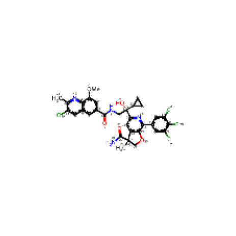 COc1cc(C(=O)NC[C@](O)(c2cc3c(c(-c4cc(Cl)c(F)c(Cl)c4)n2)OC[C@]3(C)C(N)=O)C2CC2)cc2cc(Cl)c(C)nc12